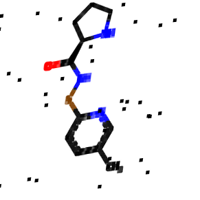 Cc1ccc(SNC(=O)[C@H]2CCCN2)nc1